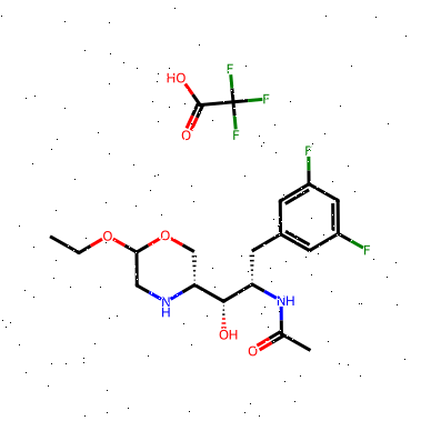 CCOC1CN[C@@H]([C@@H](O)[C@H](Cc2cc(F)cc(F)c2)NC(C)=O)CO1.O=C(O)C(F)(F)F